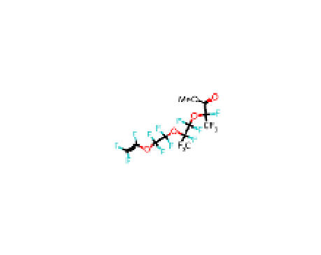 COC(=O)C(F)(OC(F)(F)C(F)(OC(F)(F)C(F)(F)OC(F)=C(F)F)C(F)(F)F)C(F)(F)F